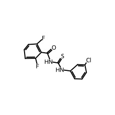 O=C(NC(=S)Nc1cccc(Cl)c1)c1c(F)cccc1F